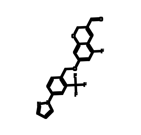 O=CC1=Cc2c(F)cc(OCc3ccc(-n4cccn4)cc3C(F)(F)F)cc2OC1